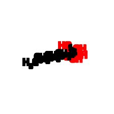 CC(C)=CCC/C(C)=C/CC/C(C)=C/COC1O[C@H](CO)[C@@H](O)[C@H](O)[C@H]1O